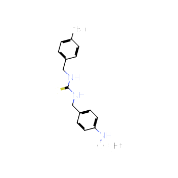 CCOC(=O)Nc1ccc(CNC(=S)NCc2ccc(C(C)(C)C)cc2)cc1